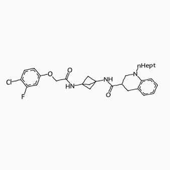 CCCCCCCN1CC(C(=O)NC23CC(NC(=O)COc4ccc(Cl)c(F)c4)(C2)C3)Cc2ccccc21